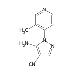 [C-]#[N+]c1cnn(-c2ccncc2C)c1N